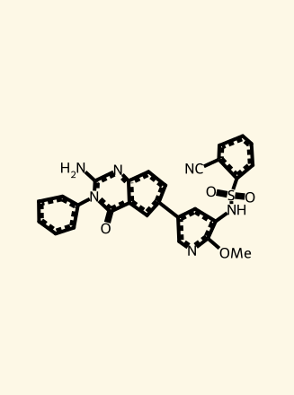 COc1ncc(-c2ccc3nc(N)n(-c4ccccc4)c(=O)c3c2)cc1NS(=O)(=O)c1ccccc1C#N